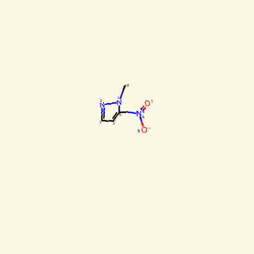 Cn1nc[c]c1[N+](=O)[O-]